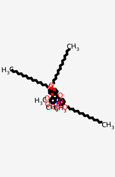 CCCCCCCCCCCCCCCCOc1ccc(-c2c(OC)c(OC)c(OC)c([N+](=O)[O-])c2C([O])(c2ccc(OCCCCCCCCCCCCCCCC)cc2)c2ccc(OCCCCCCCCCCCCCCCC)cc2)cc1